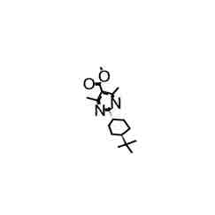 COC(=O)c1c(C)nc([C@H]2CC[C@H](C(C)(C)C)CC2)nc1C